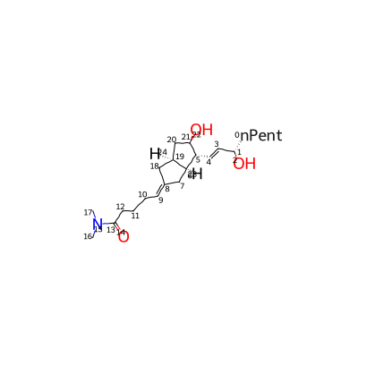 CCCCC[C@H](O)/C=C/[C@@H]1[C@H]2C/C(=C/CCCC(=O)N(C)C)C[C@H]2C[C@H]1O